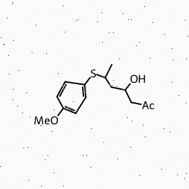 COc1ccc(SC(C)CC(O)CC(C)=O)cc1